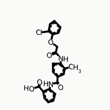 Cc1cc(C(=O)Nc2ccccc2C(=O)O)ccc1NC(=O)COc1ccccc1Cl